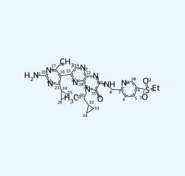 CCS(=O)(=O)c1ccc(CNc2nc3ncc(-c4c(C)nc(N)nc4C4CC4)nc3n([C@@H](C)C3CC3)c2=O)nc1